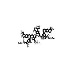 CNC(=O)c1c[nH]c2c(C(C)C3Cc4cc(-c5cnn(C)c5)c(C(F)F)cc4N(c4cc5c(C(=O)NC)c[nH]c5c(C(C)C5Cc6cc(-c7cnn(C)c7)c(C(F)F)cc6N(c6cc7c(C(=O)NC)c[nH]c7c(C)n6)C5)n4)C3)cc(N3CCCc4cc(-c5cnn(C)c5)c(C(F)F)cc43)cc12